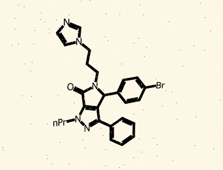 CCCn1nc(-c2ccccc2)c2c1C(=O)N(CCCn1ccnc1)C2c1ccc(Br)cc1